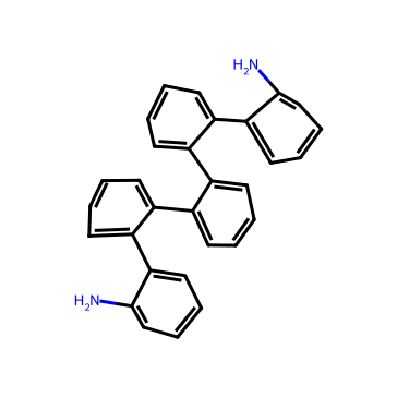 Nc1ccccc1-c1ccccc1-c1ccccc1-c1ccccc1-c1ccccc1N